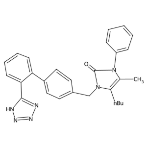 CCCCc1c(C)n(-c2ccccc2)c(=O)n1Cc1ccc(-c2ccccc2-c2nnn[nH]2)cc1